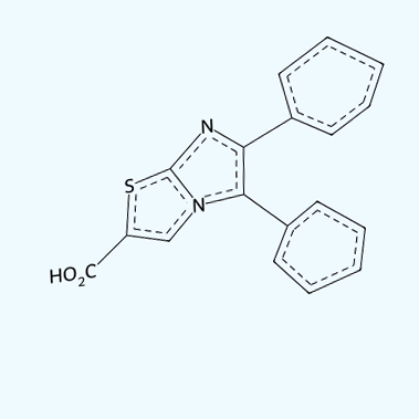 O=C(O)c1cn2c(-c3ccccc3)c(-c3ccccc3)nc2s1